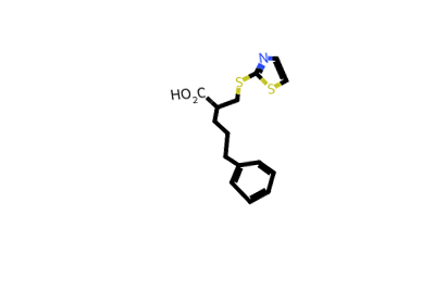 O=C(O)C(CCCc1ccccc1)CSc1nccs1